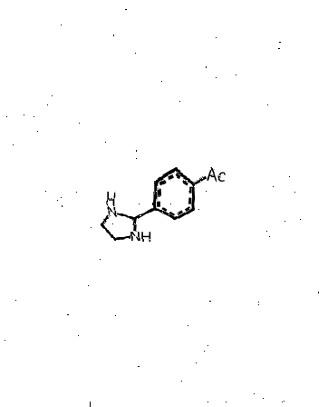 CC(=O)c1ccc(C2NCCN2)cc1